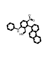 N=Cc1c(Nc2ccccc2)ccc([N+](=O)[O-])c1-c1cccc2c1ccc1ccccc12